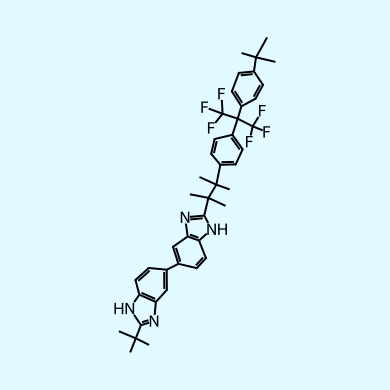 CC(C)(C)c1ccc(C(c2ccc(C(C)(C)C(C)(C)c3nc4cc(-c5ccc6[nH]c(C(C)(C)C)nc6c5)ccc4[nH]3)cc2)(C(F)(F)F)C(F)(F)F)cc1